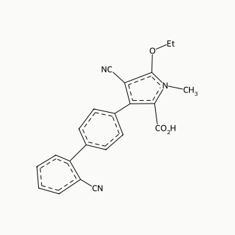 CCOc1c(C#N)c(-c2ccc(-c3ccccc3C#N)cc2)c(C(=O)O)n1C